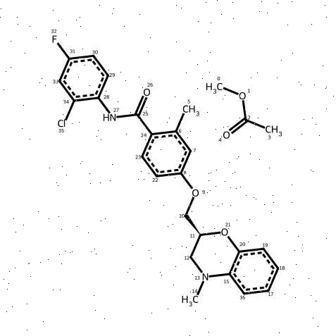 COC(C)=O.Cc1cc(OC[C@@H]2CN(C)c3ccccc3O2)ccc1C(=O)Nc1ccc(F)cc1Cl